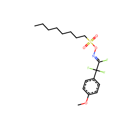 CCCCCCCCS(=O)(=O)ON=C(F)C(F)(F)c1ccc(OC)cc1